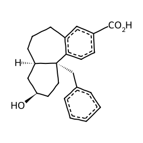 O=C(O)c1ccc2c(c1)CCC[C@@H]1C[C@H](O)CC[C@]21Cc1ccccc1